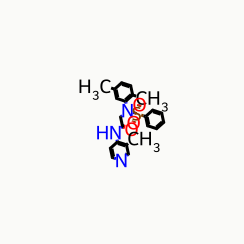 Cc1ccc(C)c(N(CC(=O)Nc2ccncc2C)S(=O)(=O)c2ccccc2)c1